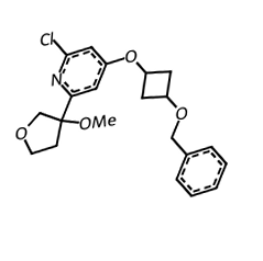 COC1(c2cc(OC3CC(OCc4ccccc4)C3)cc(Cl)n2)CCOC1